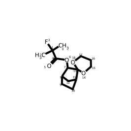 CC(C)(F)C(=O)OC1C2CCC(C2)C12OCCCO2